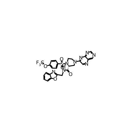 O=C(NCc1nc2ccccc2o1)[C@H]1CN(c2cnc3cncnc3n2)CCN1S(=O)(=O)c1ccc(OC(F)(F)F)cc1